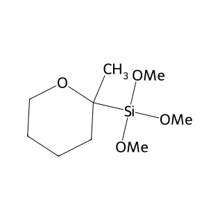 CO[Si](OC)(OC)C1(C)CCCCO1